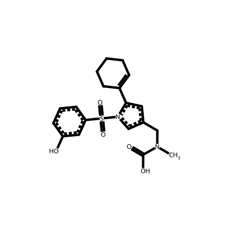 CN(Cc1cc(C2=CCCCC2)n(S(=O)(=O)c2cccc(O)c2)c1)C(=O)O